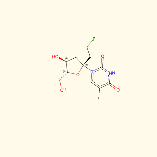 Cc1cn([C@@]2(CCF)C[C@H](O)[C@@H](CO)O2)c(=O)[nH]c1=O